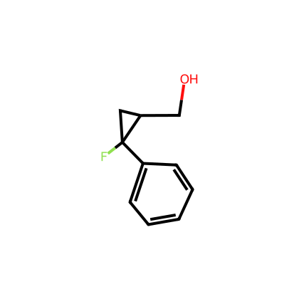 OCC1CC1(F)c1ccccc1